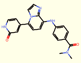 CN(C)C(=O)c1ccc(Nc2ccc(-c3cc[nH]c(=O)c3)n3ccnc23)cc1